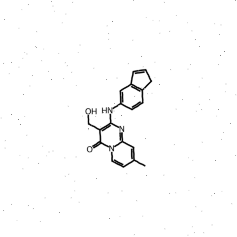 Cc1ccn2c(=O)c(CO)c(Nc3ccc4c(c3)C=CC4)nc2c1